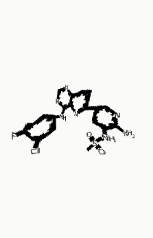 CS(=O)(=O)Nc1cc(-c2ccc3ncnc(Nc4ccc(F)c(Cl)c4)c3n2)cnc1N